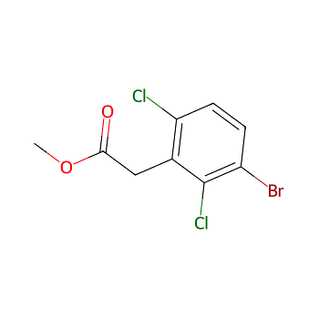 COC(=O)Cc1c(Cl)ccc(Br)c1Cl